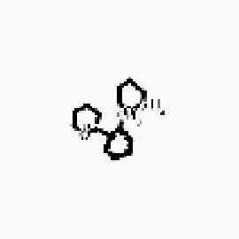 C1CC[SiH2]OC1.Cc1ccccc1[SiH]1CCCCO1